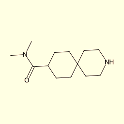 CN(C)C(=O)C1CCC2(CCNCC2)CC1